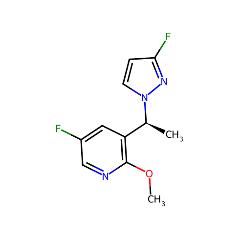 COc1ncc(F)cc1[C@H](C)n1ccc(F)n1